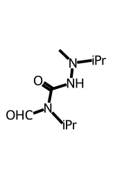 CC(C)N(C)NC(=O)N(C=O)C(C)C